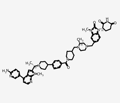 C[C@H]1CN(Cc2ccc3c(c2)n(C)c(=O)n3[C@H]2CCC(=O)NC2=O)CCN1CC1CCN(C(=O)c2ccc(C3CCN([C@@H](C)c4cc5c(-c6ccc(N)nc6)ccnc5n4C)CC3)cc2)CC1